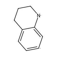 [c]1ccc2c(c1)[N]CCC2